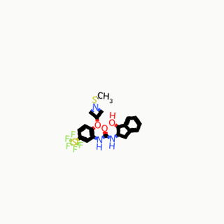 CSN1CC(Oc2ccc(S(F)(F)(F)(F)F)cc2NC(=O)NC2Cc3ccccc3C2O)C1